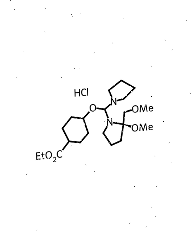 CCOC(=O)C1CCC(OC(N2CCCC2)N2CCC[C@]2(COC)OC)CC1.Cl